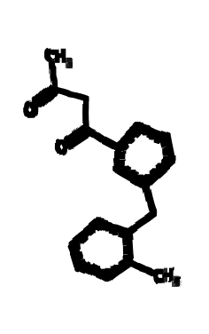 CC(=O)CC(=O)c1cccc(Cc2ccccc2C)c1